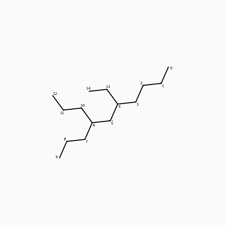 CCCCC([CH]C(CCC)CCC)CC